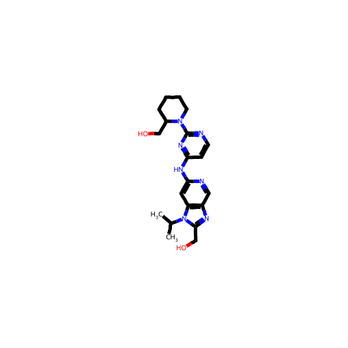 CC(C)n1c(CO)nc2cnc(Nc3ccnc(N4CCCCC4CO)n3)cc21